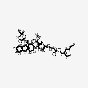 CCCCC(CC)COC(=O)CCSc1cnc(N2CCC3(CC2)Cc2ccccc2[C@H]3NC(=O)OC(C)(C)C)c(C(=O)OC)n1